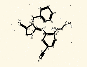 CCNc1ccc(C#N)cc1/N=C1\SCC(=O)N1Cc1ccccc1